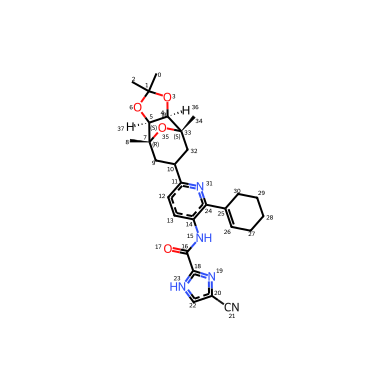 CC1(C)O[C@@H]2[C@H](O1)[C@@]1(C)CC(c3ccc(NC(=O)c4nc(C#N)c[nH]4)c(C4=CCCCC4)n3)C[C@]2(C)O1